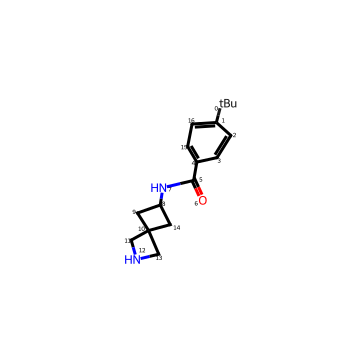 CC(C)(C)c1ccc(C(=O)NC2CC3(CNC3)C2)cc1